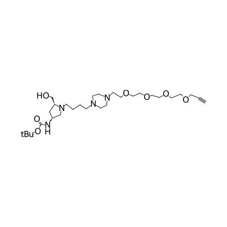 C#CCOCCOCCOCCOCCN1CCN(CCCCN2C[C@@H](NC(=O)OC(C)(C)C)C[C@H]2CO)CC1